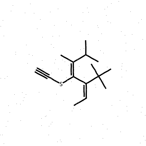 C#CSC(/C(=C\C)C(C)(C)C)=C(\C)C(C)C